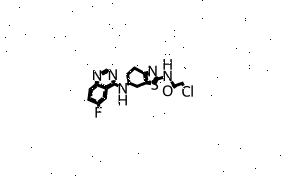 O=C(CCl)Nc1nc2c(s1)CC(Nc1ncnc3ccc(F)cc13)CC2